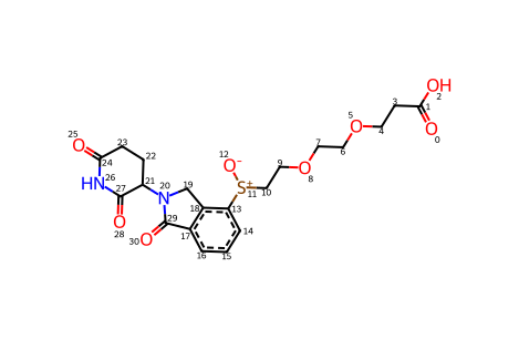 O=C(O)CCOCCOCC[S+]([O-])c1cccc2c1CN(C1CCC(=O)NC1=O)C2=O